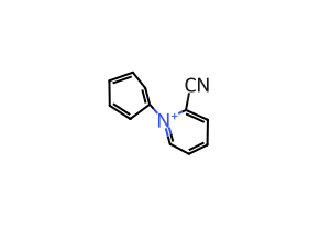 N#Cc1cccc[n+]1-c1ccccc1